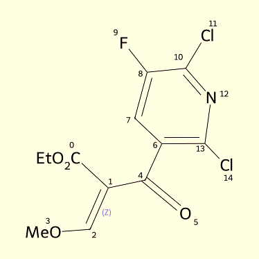 CCOC(=O)/C(=C\OC)C(=O)c1cc(F)c(Cl)nc1Cl